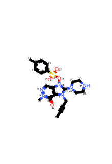 CC#CCN1c2c(cnn(C)c2=O)N(OS(=O)(=O)c2ccc(C)cc2)C1N1CCNCC1